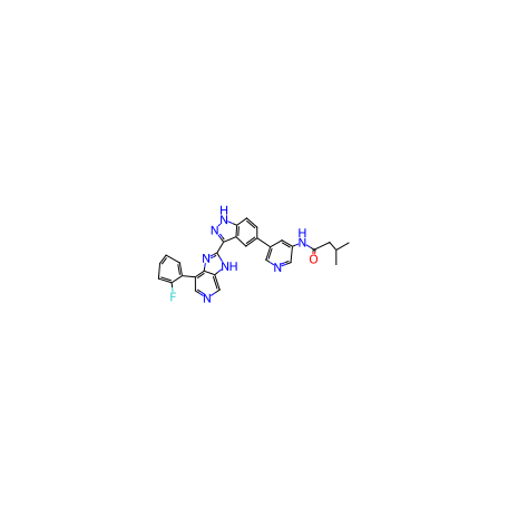 CC(C)CC(=O)Nc1cncc(-c2ccc3[nH]nc(-c4nc5c(-c6ccccc6F)cncc5[nH]4)c3c2)c1